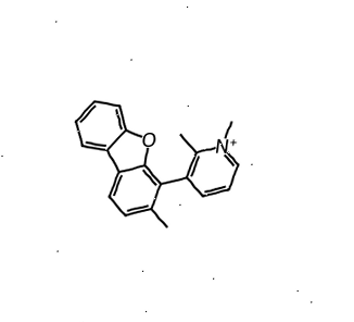 Cc1ccc2c(oc3ccccc32)c1-c1ccc[n+](C)c1C